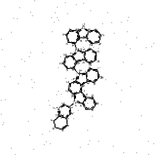 C1=Cc2cc(-n3c4ccccc4c4c5c6ccccc6n(-c6cccc7c6c6ccccc6n7-c6cccc7oc8ccccc8c67)c5ccc43)cnc2CC1